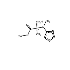 CN(c1cscn1)[C@@](C)(C(=O)O)C(=O)OC(C)(C)C